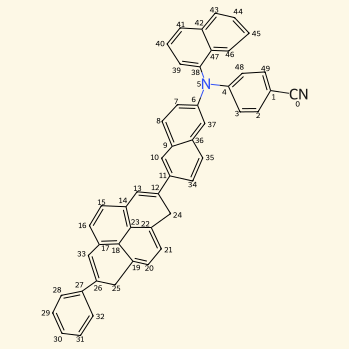 N#Cc1ccc(N(c2ccc3cc(C4=Cc5ccc6c7c(ccc(c57)C4)CC(c4ccccc4)=C6)ccc3c2)c2cccc3ccccc23)cc1